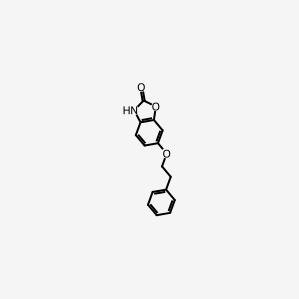 O=c1[nH]c2ccc(OCCc3ccccc3)cc2o1